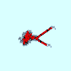 CCCCCCCCCCCCC/C=C/[C@@H](O)[C@H](CO[C@@H]1OC(CO)[C@@H](O[C@@H]2OC(CO)[C@H](O[C@@H]3OC(CO)[C@H](O)[C@H](O)C3NC(C)=O)[C@H](O[C@]3(C(=O)O)CC(O)[C@@H](NC(C)=O)C([C@H](O)[C@@H](CO)O[C@]4(C(=O)O)CC(O)[C@@H](NC(C)=O)C([C@H](O)[C@H](O)CO)O4)O3)C2O)[C@H](O)C1O)NC(=O)CCCCCCCCCCCCCCCCCCCCC